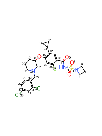 O=C(NS(=O)(=O)N1CCC1)c1cc(C2CC2)c(OC2CCCN(Cc3ccc(Cl)cc3Cl)C2)cc1F